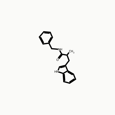 CC(Cc1c[nH]c2ccccc12)C(=O)NCc1ccccc1